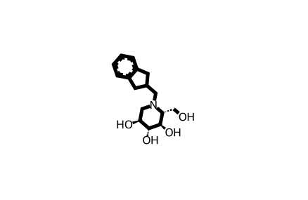 OC[C@@H]1[C@@H](O)[C@H](O)[C@@H](O)CN1CC1Cc2ccccc2C1